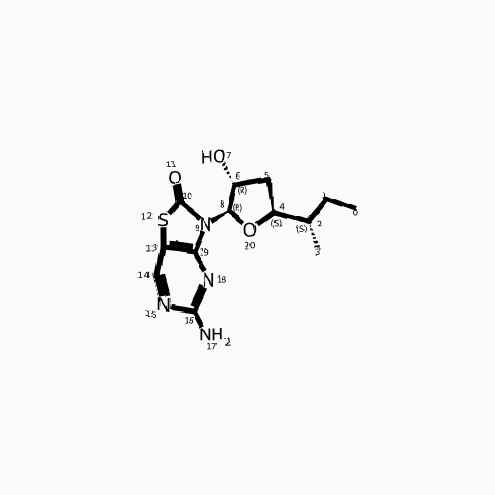 CC[C@H](C)[C@@H]1C[C@@H](O)[C@H](n2c(=O)sc3cnc(N)nc32)O1